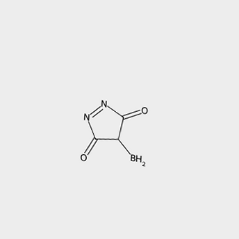 BC1C(=O)N=NC1=O